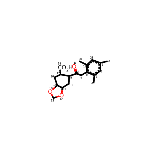 Cc1cc(C)c(CC(=O)C2CC3OCOC3CC2C(=O)O)c(C)c1